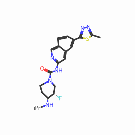 Cc1nnc(-c2ccc3cnc(NC(=O)N4CC[C@H](NC(C)C)[C@@H](F)C4)cc3c2)s1